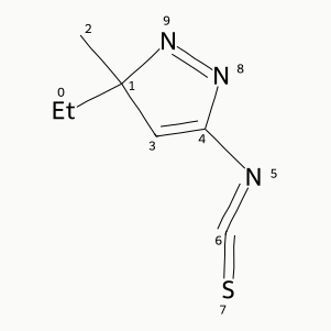 CCC1(C)C=C(N=C=S)N=N1